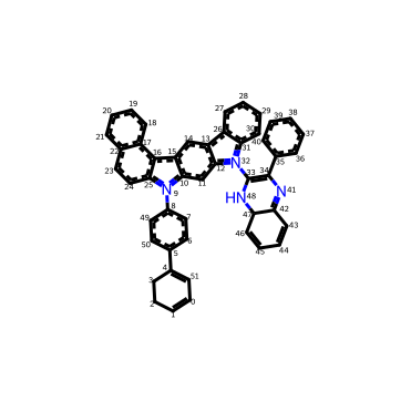 C1=CCCC(c2ccc(-n3c4cc5c(cc4c4c6ccccc6ccc43)c3ccccc3n5C3=C(c4ccccc4)N=C4C=CC=CC4N3)cc2)=C1